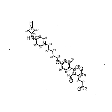 CC(=O)CCC(C(C)=O)N(C=O)C(=O)c1ccc(OCCCCCN2CCC(NC3CNC3)CC2)cc1C